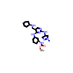 Cn1cc(Nc2ncc(CNc3ccccc3)c(Nc3cccc(NC(=O)OC(C)(C)C)c3)n2)cn1